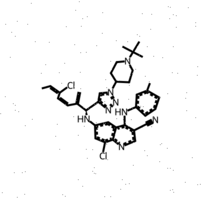 C=C(/C=C\C(Cl)=C/C)[C@H](Nc1cc(Cl)c2ncc(C#N)c(Nc3cccc(C)c3)c2c1)c1cn(C2CCN(C(C)(C)C)CC2)nn1